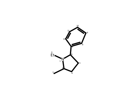 CCN1C(C)CCC1c1ccccc1